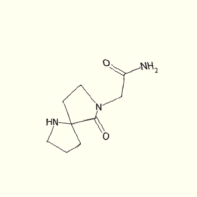 NC(=O)CN1CCC2(CCCN2)C1=O